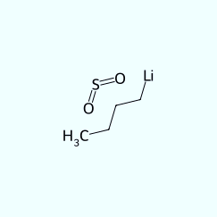 O=S=O.[Li][CH2]CCC